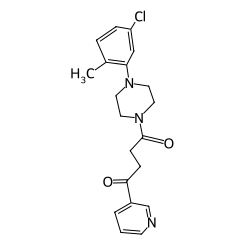 Cc1ccc(Cl)cc1N1CCN(C(=O)CCC(=O)c2cccnc2)CC1